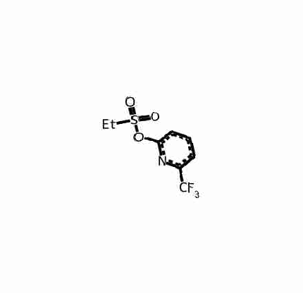 CCS(=O)(=O)Oc1cccc(C(F)(F)F)n1